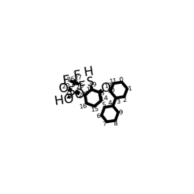 C1CCC(C2CCCCC2)CC1.O=C1CCCCC1S.O=S(=O)(O)C(F)(F)F